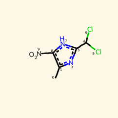 Cc1nc(C(Cl)Cl)[nH]c1[N+](=O)[O-]